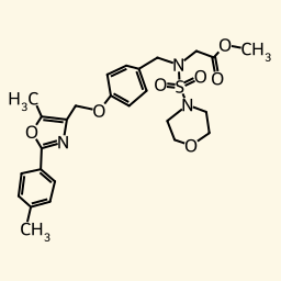 COC(=O)CN(Cc1ccc(OCc2nc(-c3ccc(C)cc3)oc2C)cc1)S(=O)(=O)N1CCOCC1